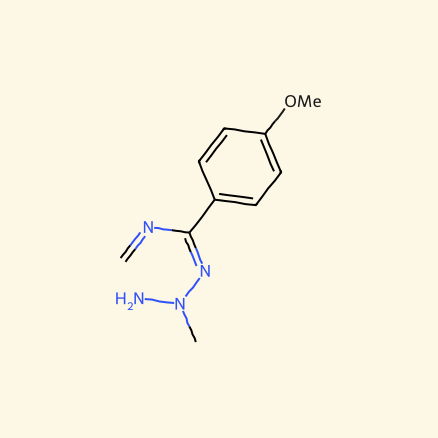 C=N/C(=N\N(C)N)c1ccc(OC)cc1